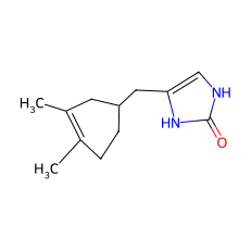 CC1=C(C)CC(Cc2c[nH]c(=O)[nH]2)CC1